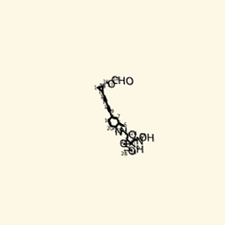 C[C@@](CCn1cc2cc(C#CC#CC3C[C@@H]3COC=O)ccc2n1)(C(=O)NO)S(C)(=O)=O